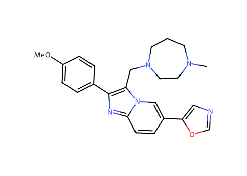 COc1ccc(-c2nc3ccc(-c4cnco4)cn3c2CN2CCCN(C)CC2)cc1